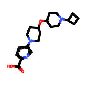 O=C(O)c1ccc(N2CCC(OC3CCN(C4CCC4)CC3)CC2)cn1